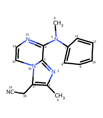 Cc1nc2c(N(C)c3ccccc3)nccn2c1CC#N